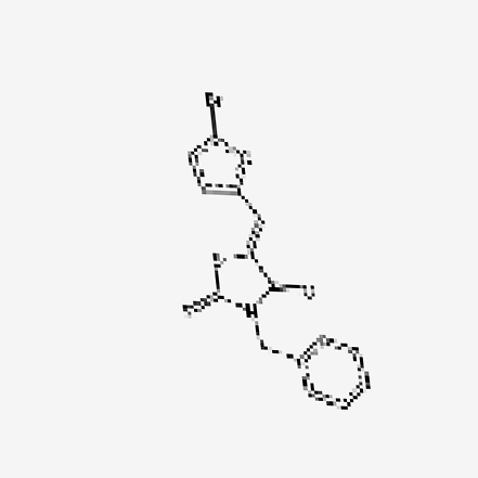 O=C1/C(=C/c2ccc(Br)o2)SC(=S)N1Cc1ccccc1